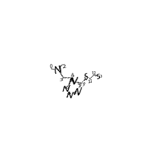 CN(C)CCn1nnnc1SCC=S